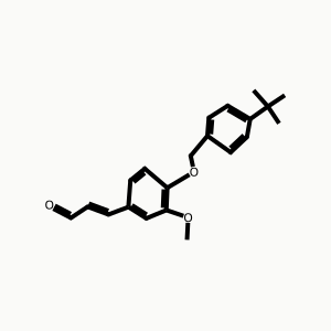 COc1cc(/C=C/C=O)ccc1OCc1ccc(C(C)(C)C)cc1